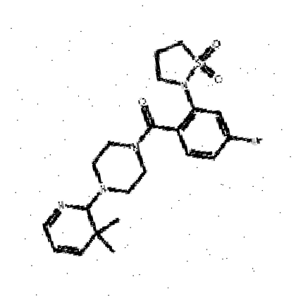 CC1(C)C=CC=NC1N1CCN(C(=O)c2ccc(Br)cc2N2CCCS2(=O)=O)CC1